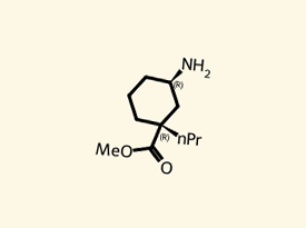 CCC[C@@]1(C(=O)OC)CCC[C@@H](N)C1